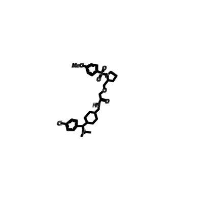 COc1ccc(S(=O)(=O)N2CCCC2COCC(=O)NCC2CCC(C(c3ccc(Cl)cc3)N(C)C)CC2)cc1